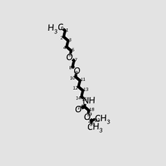 CCCCCCOCCOCCCCCNC(=O)COC(C)C